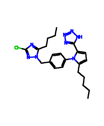 CCCCCc1ccc(-c2nnn[nH]2)n1-c1ccc(Cn2nc(Cl)nc2CCCC)cc1